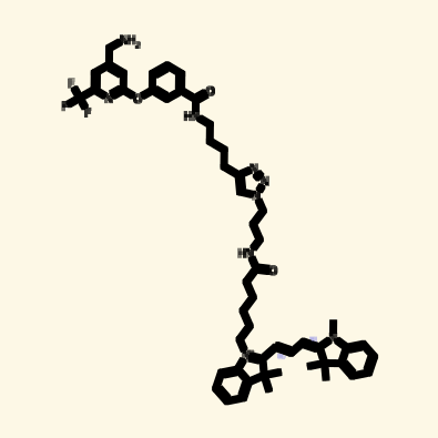 CN1/C(=C/C=C/C2=[N+](CCCCCC(=O)NCCCn3cc(CCCCNC(=O)c4cccc(Oc5cc(CN)cc(C(F)(F)F)n5)c4)nn3)c3ccccc3C2(C)C)C(C)(C)c2ccccc21